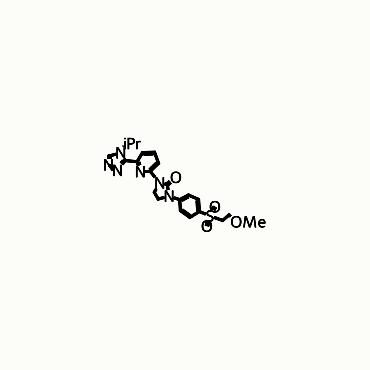 COCCS(=O)(=O)c1ccc(N2CCN(c3cccc(-c4nncn4C(C)C)n3)C2=O)cc1